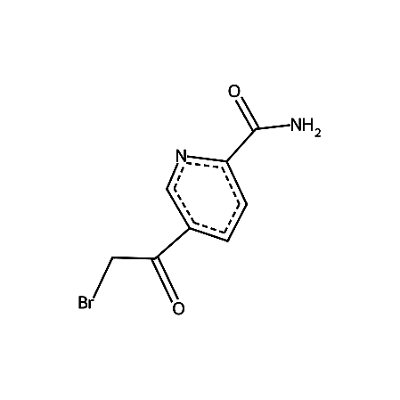 NC(=O)c1ccc(C(=O)CBr)cn1